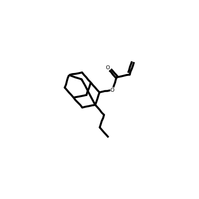 C=CC(=O)OC1C2CC3CC(C2)CC1(CCC)C3